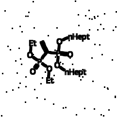 C=C(P(=O)(OCC)OCC)P(=O)(OCCCCCCC)OCCCCCCC